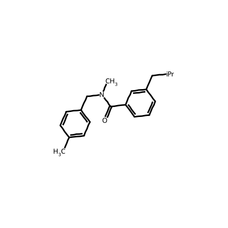 Cc1ccc(CN(C)C(=O)c2cccc(CC(C)C)c2)cc1